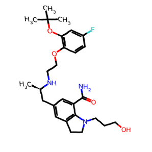 C[C@H](Cc1cc2c(c(C(N)=O)c1)N(CCCO)CC2)NCCOc1ccc(F)cc1OC(C)(C)C